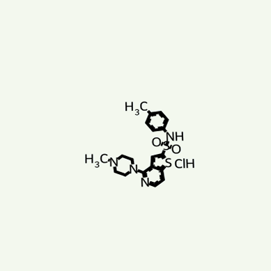 Cc1ccc(NS(=O)(=O)c2cc3c(N4CCN(C)CC4)nccc3s2)cc1.Cl